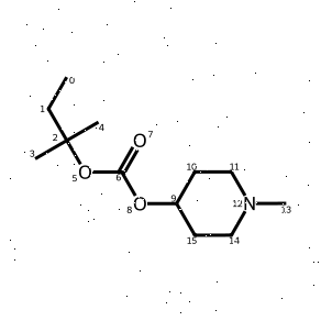 CCC(C)(C)OC(=O)OC1CCN(C)CC1